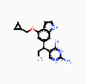 CCC(c1cc(OCC2CC2)c2cc[nH]c2c1)c1cnc(N)nc1N